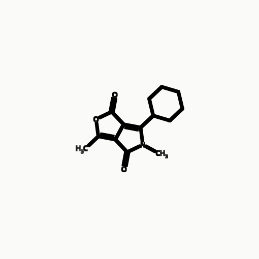 CC1=C2C(=O)N(C)C(C3CCCCC3)=C2C(=O)O1